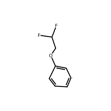 FC(F)COc1c[c]ccc1